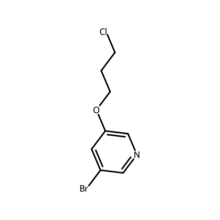 ClCCCOc1cncc(Br)c1